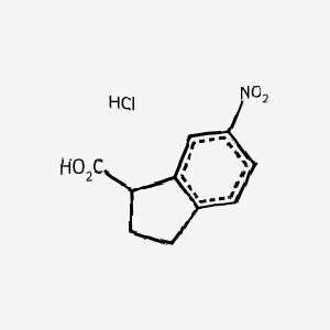 Cl.O=C(O)C1CCc2ccc([N+](=O)[O-])cc21